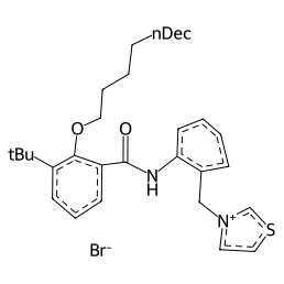 CCCCCCCCCCCCCCOc1c(C(=O)Nc2ccccc2C[n+]2ccsc2)cccc1C(C)(C)C.[Br-]